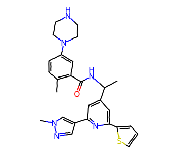 Cc1ccc(N2CCNCC2)cc1C(=O)NC(C)c1cc(-c2cnn(C)c2)nc(-c2cccs2)c1